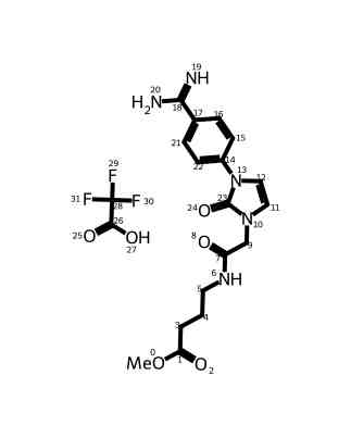 COC(=O)CCCNC(=O)Cn1ccn(-c2ccc(C(=N)N)cc2)c1=O.O=C(O)C(F)(F)F